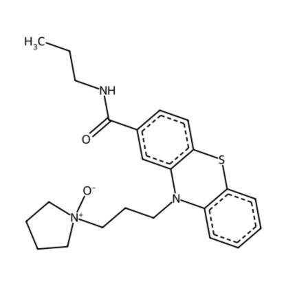 CCCNC(=O)c1ccc2c(c1)N(CCC[N+]1([O-])CCCC1)c1ccccc1S2